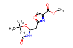 COC(=O)c1coc(CC(NC=O)OC(C)(C)C)n1